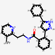 CCCc1cccnc1CCNC(=O)c1ccccc1-c1cc(-c2ccccc2)[nH]n1